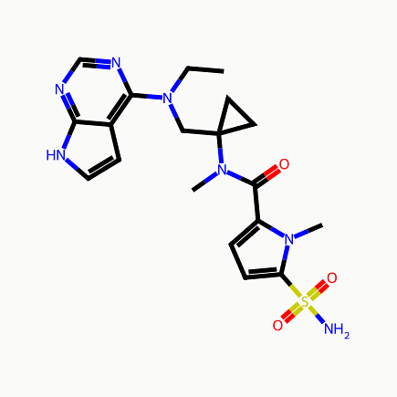 CCN(CC1(N(C)C(=O)c2ccc(S(N)(=O)=O)n2C)CC1)c1ncnc2[nH]ccc12